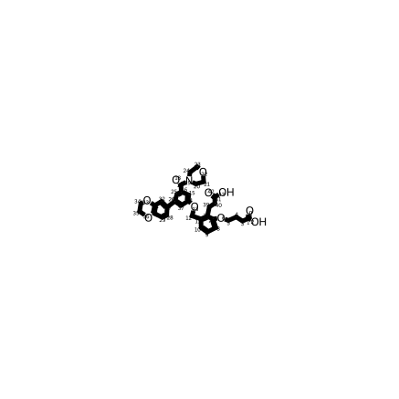 O=C(O)CCCOc1cccc(COc2cc(C(=O)N3CCOCC3)cc(-c3ccc4c(c3)OCCO4)c2)c1CCC(=O)O